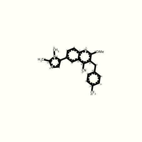 COc1nc2ccc(-c3cnc(C)n3C)cc2c(C#N)c1Cc1ccc(C(F)(F)F)cc1